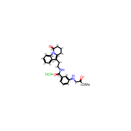 COC(=O)CNc1cccc(C(=O)NCCc2c3n(c4ccccc24)C(=O)CCC3)c1.Cl